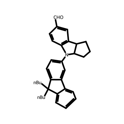 CCCCC1(CCCC)c2ccccc2-c2cc(N3c4ccc(C=O)cc4C4CCCC43)ccc21